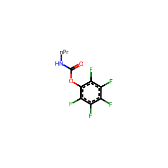 CCCNC(=O)Oc1c(F)c(F)c(F)c(F)c1F